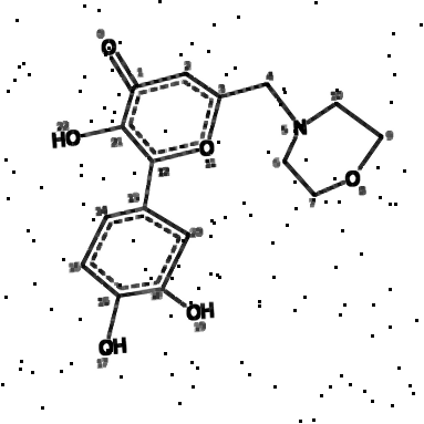 O=c1cc(CN2CCOCC2)oc(-c2ccc(O)c(O)c2)c1O